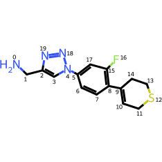 NCc1cn(-c2ccc(C3=CCSCC3)c(F)c2)nn1